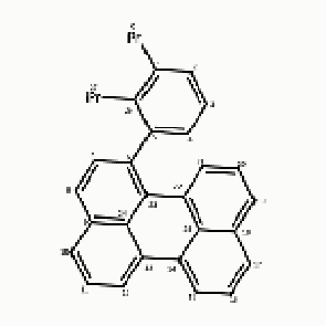 CC(C)c1cccc(-c2ccc3cccc4c5cccc6cccc(c2c34)c65)c1C(C)C